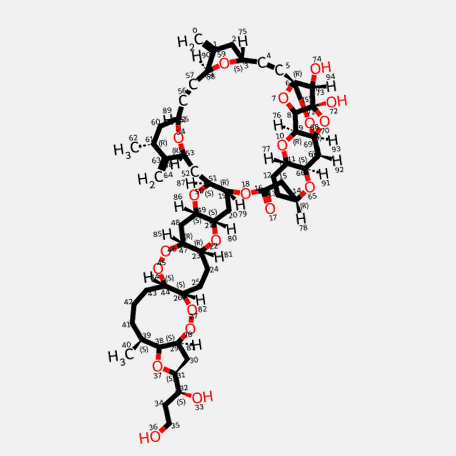 C=C1C[C@@H]2CC[C@]34OC5[C@@H]6O[C@H]7CC[C@H](CC(=O)O[C@@H]8C[C@@H]9O[C@@H]%10CC[C@@H]%11OO[C@H]%12C[C@@H]([C@@H](O)CCO)OC%12[C@@H](C)CCC[C@@H]%11OO[C@@H]%10C[C@@H]9O[C@H]8C[C@H]8O[C@@H](CC[C@@H]1O2)C[C@@H](C)C8=C)O[C@@H]7[C@H](O3)[C@@H]6O[C@@]5(O)[C@H]4O